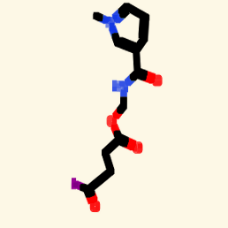 C[n+]1cccc(C(=O)NCOC(=O)CCC(=O)I)c1